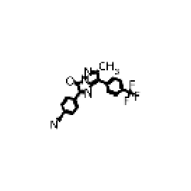 Cc1nn2c(c1-c1ccc(C(F)(F)F)cc1)N=C(c1ccc(C#N)cc1)C2=O